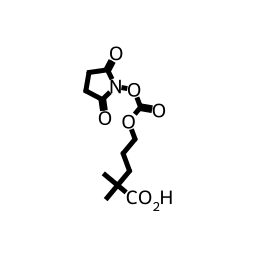 CC(C)(CCCOC(=O)ON1C(=O)CCC1=O)C(=O)O